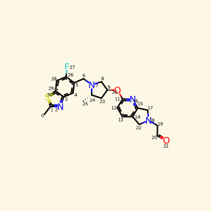 Cc1nc2cc(CN3C[C@@H](Oc4ccc5c(n4)CN(CC=O)C5)C[C@@H]3C)c(F)cc2s1